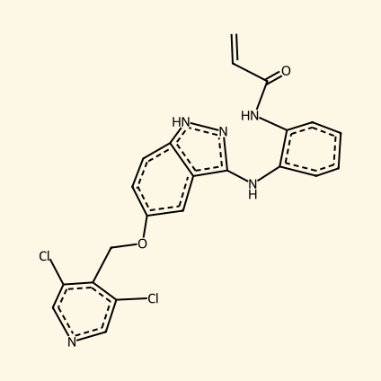 C=CC(=O)Nc1ccccc1Nc1n[nH]c2ccc(OCc3c(Cl)cncc3Cl)cc12